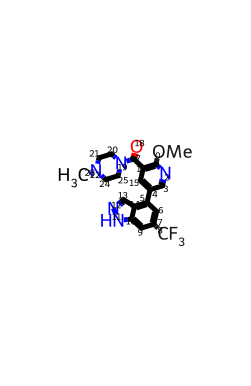 COc1ncc(-c2cc(C(F)(F)F)cc3[nH]ncc23)cc1C(=O)N1CCN(C)CC1